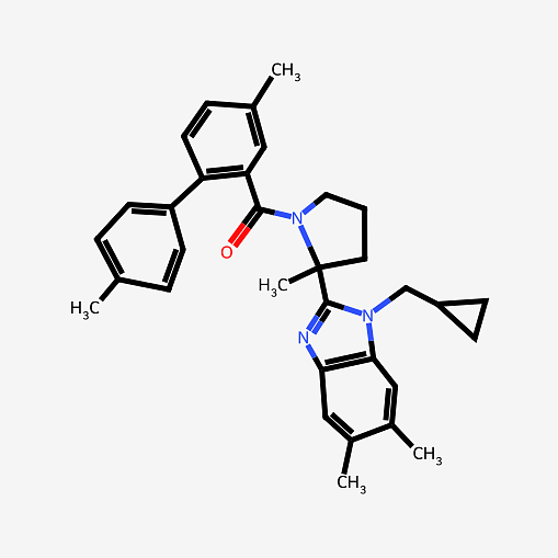 Cc1ccc(-c2ccc(C)cc2C(=O)N2CCCC2(C)c2nc3cc(C)c(C)cc3n2CC2CC2)cc1